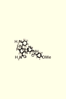 COc1ccc(C(=O)Nc2cncc(Nc3nc(NC4CCCCC4N)c(F)cc3C(N)=O)c2)cc1